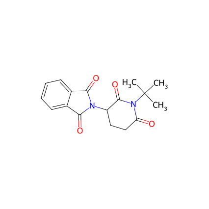 CC(C)(C)N1C(=O)CCC(N2C(=O)c3ccccc3C2=O)C1=O